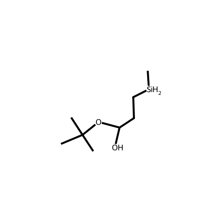 C[SiH2]CCC(O)OC(C)(C)C